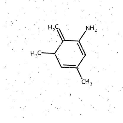 C=C1C(N)=CC(C)=CC1C